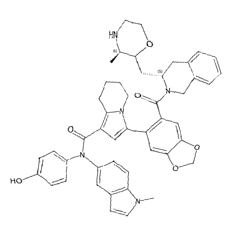 C[C@H]1NCCOC1C[C@@H]1Cc2ccccc2CN1C(=O)c1cc2c(cc1-c1cc(C(=O)N(c3ccc(O)cc3)c3ccc4c(ccn4C)c3)c3n1CCCC3)OCO2